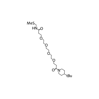 CSCNC(=O)CCOCCOCCOCCOCCC(=O)N1CCC(C(C)(C)C)CC1